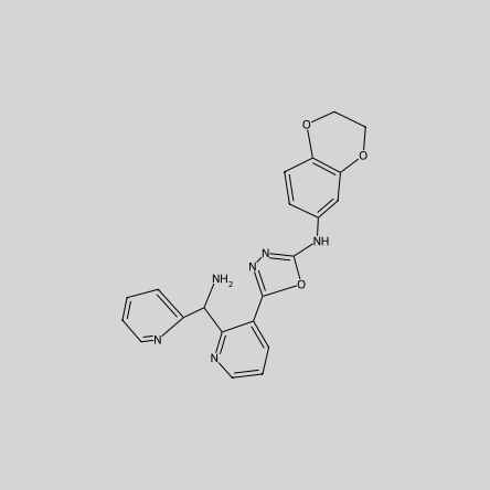 NC(c1ccccn1)c1ncccc1-c1nnc(Nc2ccc3c(c2)OCCO3)o1